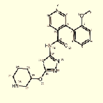 COc1ccccc1-c1cnccc1C(=O)Nc1nnc(OC2CCCNC2)s1